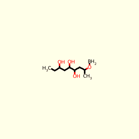 BOC(C)CC(O)C(O)CC(O)CC